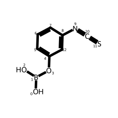 OB(O)Oc1cccc(N=C=S)c1